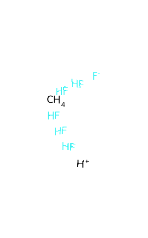 C.F.F.F.F.F.[F-].[H+]